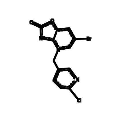 O=c1nc2n(Cc3ccc(Cl)nc3)cc(Br)cc-2o1